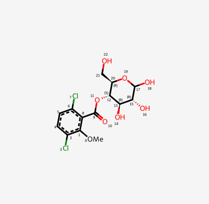 COc1c(Cl)ccc(Cl)c1C(=O)O[C@H]1[C@H](O)[C@@H](O)C(O)O[C@@H]1CO